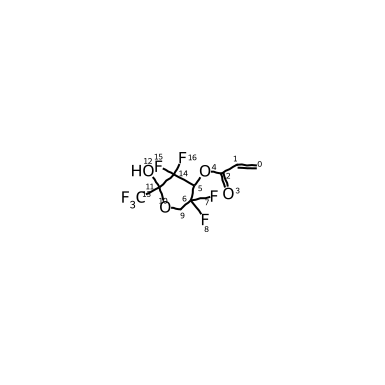 C=CC(=O)OC1C(F)(F)COC(O)(C(F)(F)F)C1(F)F